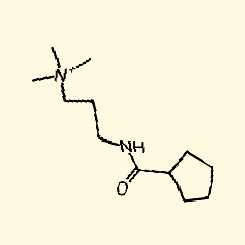 C[N+](C)(C)CCCNC(=O)C1CCCC1